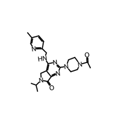 CC(=O)N1CCN(c2nc(NCc3ccc(C)cn3)c3c(n2)C(=O)N(C(C)C)C3)CC1